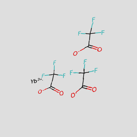 O=C([O-])C(F)(F)F.O=C([O-])C(F)(F)F.O=C([O-])C(F)(F)F.[Yb+3]